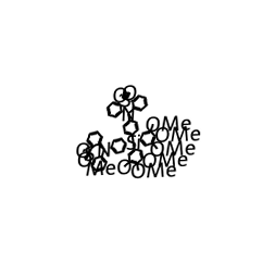 COc1cc([Si](c2ccc(N3c4ccccc4S(=O)(=O)c4ccccc43)cc2)(c2ccc(N3c4ccccc4S(=O)(=O)c4ccccc43)cc2)c2cc(OC)c(OC)c(OC)c2)cc(OC)c1OC